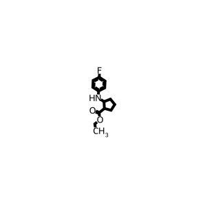 CCOC(=O)C1CCCC1Nc1ccc(F)cc1